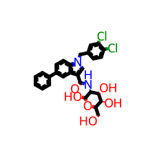 O=C(N[C@H]1C(O)OC(CO)[C@@H](O)C1O)c1cn(Cc2ccc(Cl)c(Cl)c2)c2ccc(-c3ccccc3)cc12